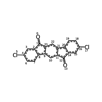 O=c1c2cc(Cl)ccc2c2cc3c(=O)c4cc(Cl)ccc4c3cc12